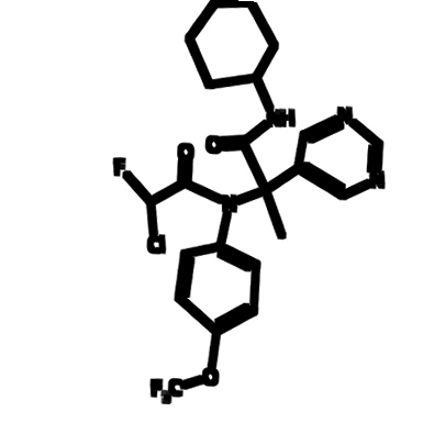 CC(C(=O)NC1CCCCC1)(c1cncnc1)N(C(=O)C(F)Cl)c1ccc(OC(F)(F)F)cc1